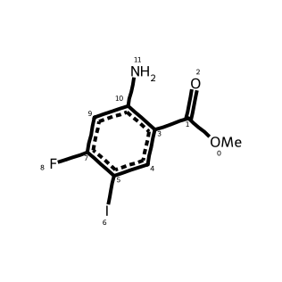 COC(=O)c1cc(I)c(F)cc1N